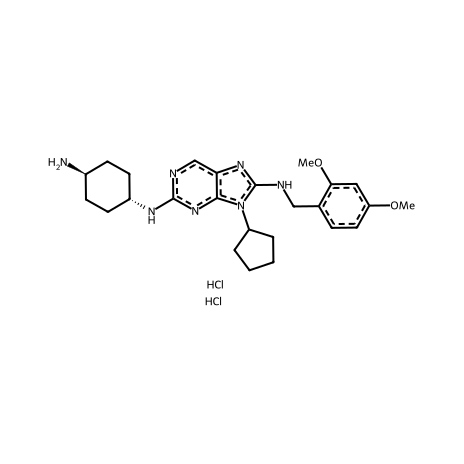 COc1ccc(CNc2nc3cnc(N[C@H]4CC[C@H](N)CC4)nc3n2C2CCCC2)c(OC)c1.Cl.Cl